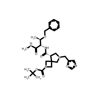 CNC(=O)[C@@H](NC(=O)[C@@H]1CN(Cc2cnco2)CC12CN(C(=O)OC(C)(C)C)C2)[C@@H](C)OCc1ccccc1